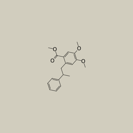 COC(=O)c1cc(OC)c(OC)cc1CC(C)c1ccccc1